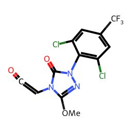 COc1nn(-c2c(Cl)cc(C(F)(F)F)cc2Cl)c(=O)n1C=C=O